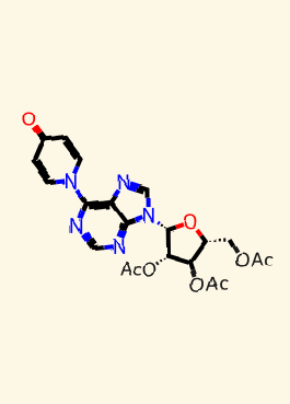 CC(=O)OC[C@H]1O[C@@H](n2cnc3c(-n4ccc(=O)cc4)ncnc32)[C@@H](OC(C)=O)C1OC(C)=O